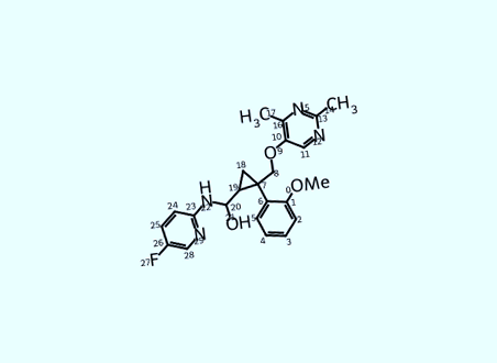 COc1ccccc1C1(COc2cnc(C)nc2C)CC1C(O)Nc1ccc(F)cn1